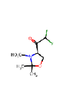 CC1(C)OC[C@H](C(=O)C(F)F)N1C(=O)O